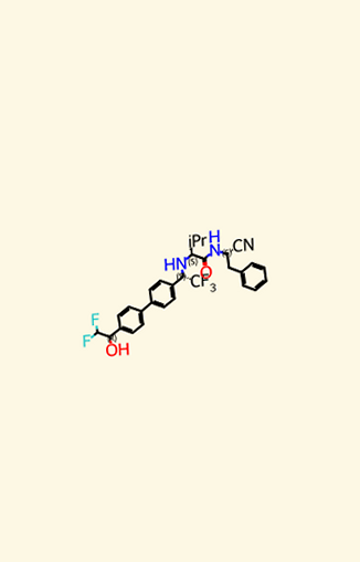 CC(C)[C@H](N[C@@H](c1ccc(-c2ccc([C@@H](O)C(F)F)cc2)cc1)C(F)(F)F)C(=O)N[C@H](C#N)Cc1ccccc1